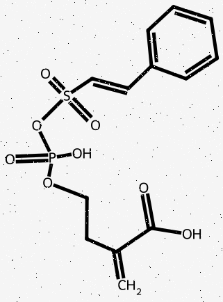 C=C(CCOP(=O)(O)OS(=O)(=O)C=Cc1ccccc1)C(=O)O